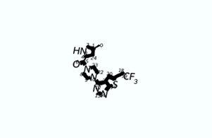 C[C@@H]1CN[C@H](C(=O)N2CCN(c3ncnc4sc(CC(F)(F)F)cc34)CC2)C1